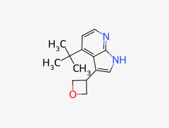 CC(C)(C)c1ccnc2[nH]cc(C3COC3)c12